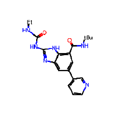 CCNC(=O)Nc1nc2cc(-c3cccnc3)cc(C(=O)NC(C)(C)C)c2[nH]1